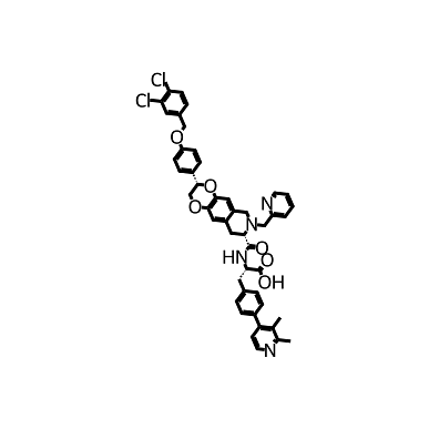 Cc1nccc(-c2ccc(C[C@H](NC(=O)[C@@H]3Cc4cc5c(cc4CN3Cc3ccccn3)O[C@@H](c3ccc(OCc4ccc(Cl)c(Cl)c4)cc3)CO5)C(=O)O)cc2)c1C